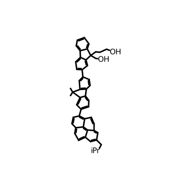 CC(C)Cc1cc2ccc3ccc(-c4ccc5c(c4)C(C)(C)c4cc(-c6ccc7c(c6)C(CO)(CCCO)c6ccccc6-7)ccc4-5)c4ccc(c1)c2c34